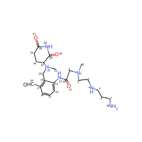 CN(CCNCCCN)CC(=O)Nc1cccc(C=O)c1CN(C)C1CCC(=O)NC1=O